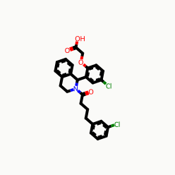 O=C(O)COc1ccc(Cl)cc1C1c2ccccc2CCN1C(=O)CCCc1cccc(Cl)c1